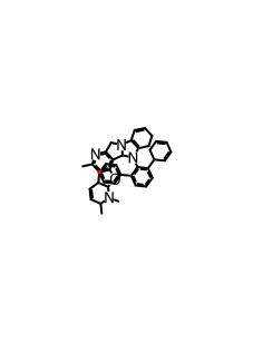 Cc1nc2c(c3c1C1C=CC(C)N(C)C1O3)C1N(C2)C2=C(CCC=C2)N1c1c(-c2ccccc2)cccc1C1C=CC=CC1